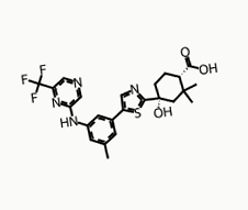 Cc1cc(Nc2cncc(C(F)(F)F)n2)cc(-c2cnc([C@@]3(O)CC[C@H](C(=O)O)C(C)(C)C3)s2)c1